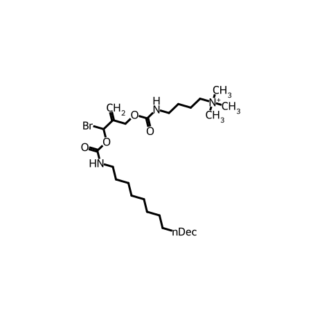 C=C(COC(=O)NCCCC[N+](C)(C)C)C(Br)OC(=O)NCCCCCCCCCCCCCCCCCC